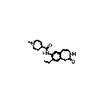 CCc1cc2c(cc1NC(=O)C1CCN(C)CC1)C=CNC(=O)C2